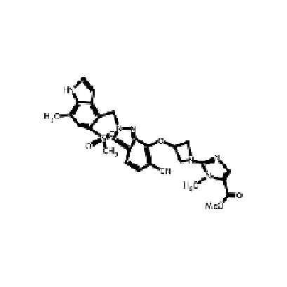 COC(=O)c1cnc(N2CC(Oc3c(C#N)ccc4cn(Cc5c(S(C)(=O)=O)cc(C)c6[nH]ccc56)nc34)C2)n1C